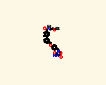 CCOCCN(CC)C(=O)c1ccc(-c2cccc(COc3ccc(Cn4oc(=O)[nH]c4=O)cc3)c2)c(C)c1